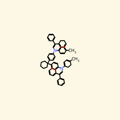 CC1=CC=C(N(/C=C(\C2=CC=CCC2)c2ccccc2)c2ccc(C3(c4ccc(N(/C=C(\C5=CC=CCC5)c5ccccc5)c5ccc(C)cc5)cc4)CCCCC3)cc2)CC1